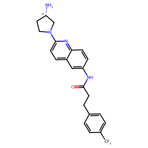 N[C@H]1CCN(c2ccc3cc(NC(=O)CCc4ccc(C(F)(F)F)cc4)ccc3n2)C1